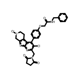 O=C(COc1ccc(-c2c(Cl)c(CN3C(=O)CCC3=O)nc3sc4c(c23)CC[S+]([O-])C4)cc1)NCc1ccccc1